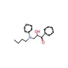 CCCCN(CC(O)C(=O)c1ccccc1)c1ccccc1